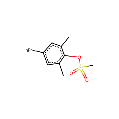 CCCc1cc(C)c(OS(C)(=O)=O)c(C)c1